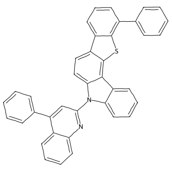 c1ccc(-c2cc(-n3c4ccccc4c4c5sc6c(-c7ccccc7)cccc6c5ccc43)nc3ccccc23)cc1